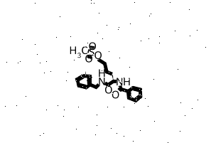 CS(=O)(=O)OCCCC[C@H](NC(=O)c1ccccc1)C(=O)NCc1ccccc1